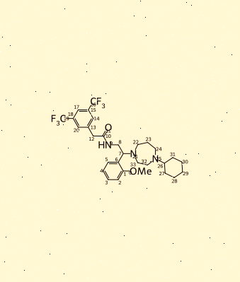 COc1ccccc1C(CNC(=O)Cc1cc(C(F)(F)F)cc(C(F)(F)F)c1)N1CCCN(C2CCCCC2)CC1